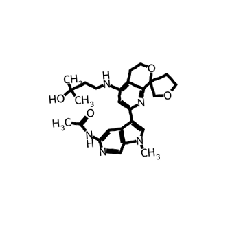 CC(=O)Nc1cc2c(-c3cc(NCCC(C)(C)O)c4c(n3)C3(CCOC3)OCC4)cn(C)c2cn1